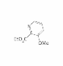 CCOC(=O)c1ncccc1OC